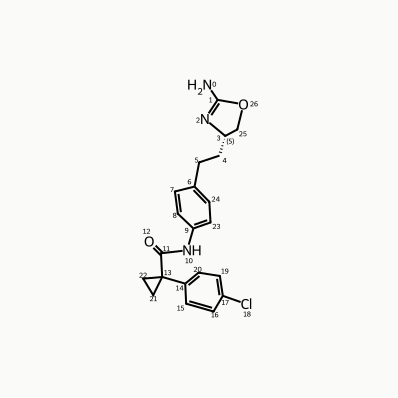 NC1=N[C@@H](CCc2ccc(NC(=O)C3(c4ccc(Cl)cc4)CC3)cc2)CO1